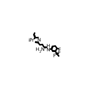 C=C(CC/C(N)=C/NC1=CCC(F)C(C(C)(F)F)=C1)/N=C\C(=C/C)C(C)C